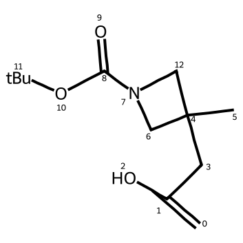 C=C(O)CC1(C)CN(C(=O)OC(C)(C)C)C1